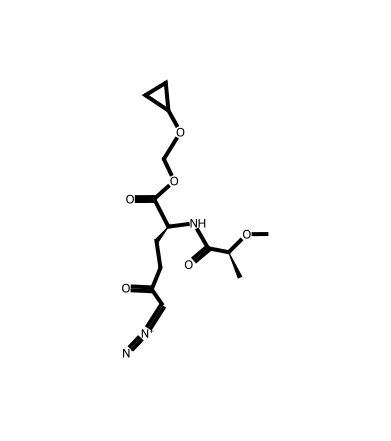 CO[C@@H](C)C(=O)N[C@@H](CCC(=O)C=[N+]=[N-])C(=O)OCOC1CC1